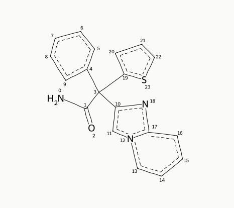 NC(=O)C(c1ccccc1)(c1cn2ccccc2n1)c1cccs1